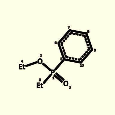 [CH2]CP(=O)(OCC)c1ccccc1